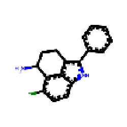 NC1CCc2c(-c3ccccc3)[nH]c3ccc(F)c1c23